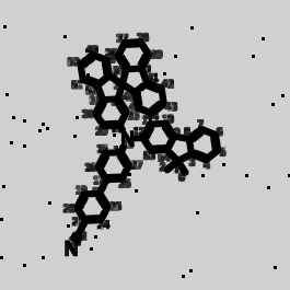 CC1(C)c2ccccc2-c2ccc(N(c3ccc(-c4ccc(C#N)cc4)cc3)c3ccc4c(c3)C3(c5ccccc5-c5ccccc53)c3ccccc3-4)cc21